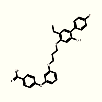 CCc1cc(-c2ccc(F)cc2)c(O)cc1OCCCOc1[c]c(Oc2ccc(C(=O)O)cc2)ccc1